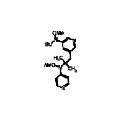 CON(c1cncc(CC(C)(C)N(OC)c2ccncc2)c1)C(C)(C)C